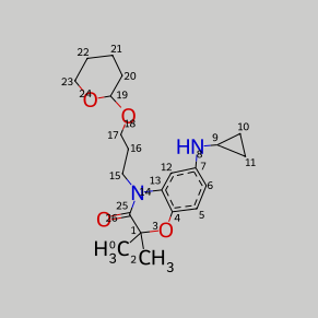 CC1(C)Oc2ccc(NC3CC3)cc2N(CCCOC2CCCCO2)C1=O